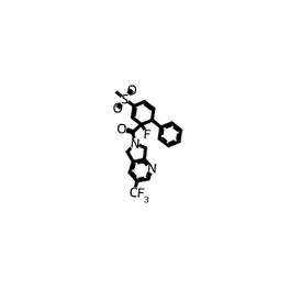 CS(=O)(=O)C1=CC(F)(C(=O)N2Cc3cc(C(F)(F)F)cnc3C2)C(c2ccccc2)C=C1